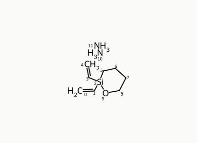 C=C[Si]1(C=C)CCCCO1.N.N